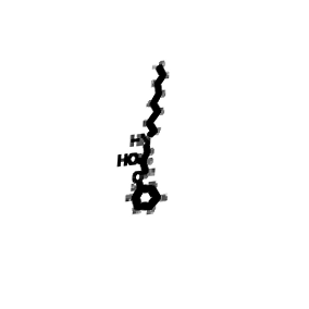 [CH2]CCCCCCCNCC(O)COc1ccccc1